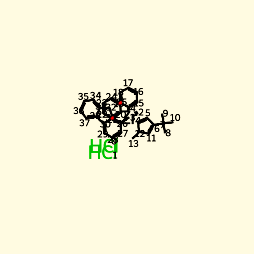 Cl.Cl.[CH2]=[Zr]([C]1=CC(C(C)(C)C)=CC1C)([c]1ccccc1)([c]1ccccc1)[c]1cccc2c1Cc1ccccc1-2